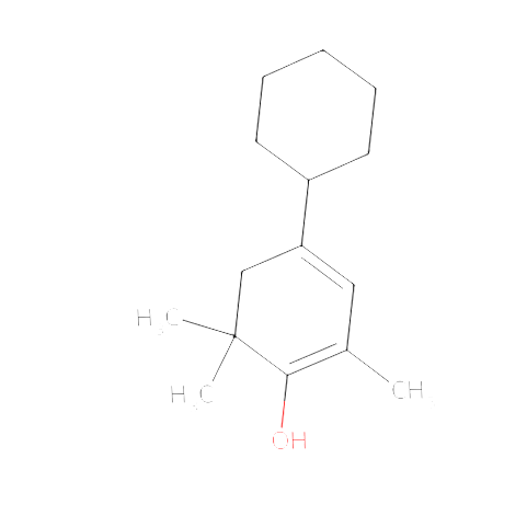 CC1=C(O)C(C)(C)CC(C2CCCCC2)=C1